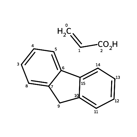 C=CC(=O)O.c1ccc2c(c1)Cc1ccccc1-2